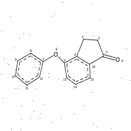 O=C1CCc2c(Oc3ccccc3)cccc21